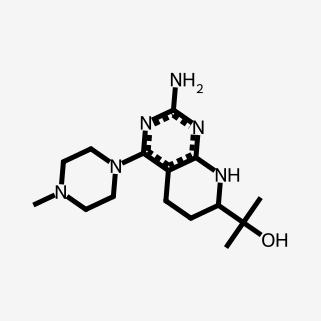 CN1CCN(c2nc(N)nc3c2CCC(C(C)(C)O)N3)CC1